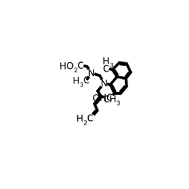 C=C/C=C(\C)CN(CN(C)CC(=O)O)c1c(C=O)ccc2cccc(C)c12